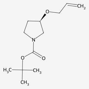 C=CCO[C@@H]1CCN(C(=O)OC(C)(C)C)C1